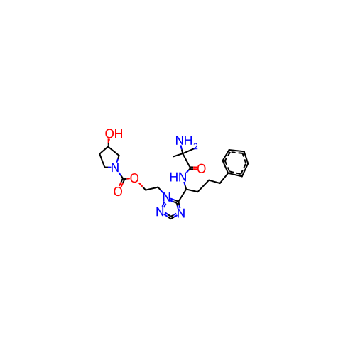 CC(C)(N)C(=O)NC(CCCc1ccccc1)c1ncnn1CCOC(=O)N1CC[C@@H](O)C1